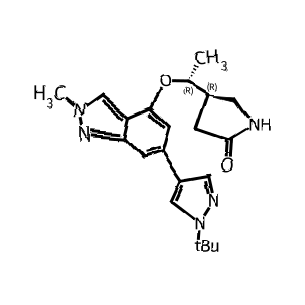 C[C@@H](Oc1cc(-c2cnn(C(C)(C)C)c2)cc2nn(C)cc12)[C@H]1CNC(=O)C1